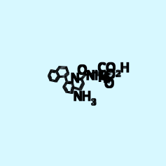 N.O=C(NCC(N=S(=O)=O)C(=O)O)c1ccc2cccc(-c3cccc4ccccc34)c2n1